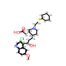 COc1ccc2ncc(Cl)c([C@@H](O)CC[C@@H]3CCN(CCSC4CCCCC4)C[C@H]3CC(=O)O)c2c1